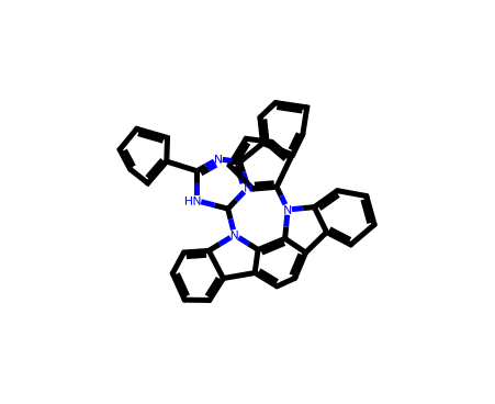 c1ccc(C2=NC(n3c4ccccc4c4ccc5c6ccccc6n(-c6ccccc6)c5c43)NC(c3ccccc3)=N2)cc1